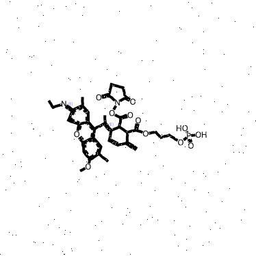 C=C1C=C/C(=C(/C)c2c3cc(C)/c(=N/CC)cc-3oc3cc(OC)c(C)cc23)C(C(=O)ON2C(=O)CCC2=O)C1C(=O)OCCCOP(=O)(O)O